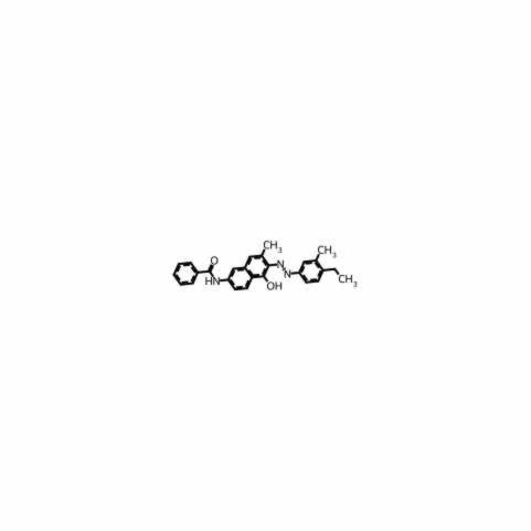 CCc1ccc(N=Nc2c(C)cc3cc(NC(=O)c4ccccc4)ccc3c2O)cc1C